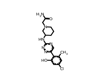 Cc1cc(Cl)cc(O)c1-c1cnc(NC2CCCN(CC(N)=O)C2)nn1